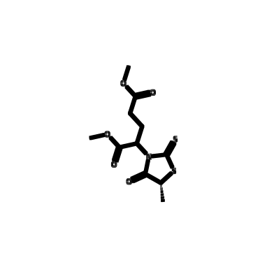 COC(=O)CCC(C(=O)OC)N1C(=O)[C@@H](C)SC1=S